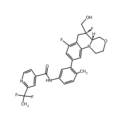 Cc1ccc(NC(=O)c2ccnc(C(C)(F)F)c2)cc1-c1cc(F)c2c(c1)N1CCOC[C@H]1[C@@](F)(CO)C2